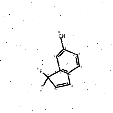 N#Cc1ccc2c(c1)C(F)(F)C=C2